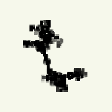 COC(=O)c1cc(N2C(=S)N(c3ccc(C#N)c(C(F)(F)F)c3F)C(=O)C2(C)C)cnc1OCCCCOCCCOCC(=O)N[C@H](C(=O)N1C[C@H](O)C[C@H]1C(=O)NCc1ccc(-c2scnc2C)cc1)C(C)(C)C